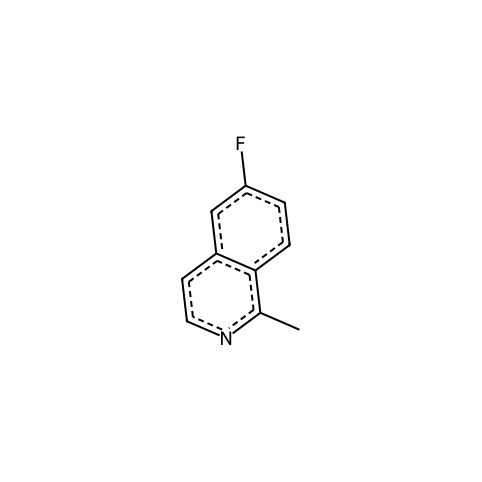 Cc1nccc2cc(F)ccc12